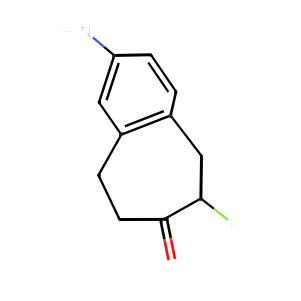 Nc1ccc2c(c1)CCC(=O)C(F)C2